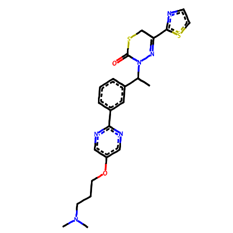 CC(c1cccc(-c2ncc(OCCCN(C)C)cn2)c1)N1N=C(c2nccs2)CSC1=O